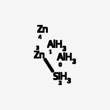 [AlH3].[AlH3].[SiH3][Zn].[Zn]